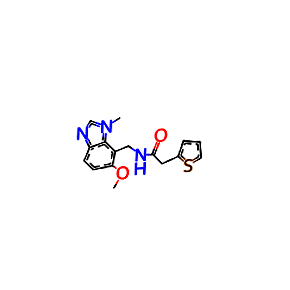 COc1ccc2ncn(C)c2c1CNC(=O)Cc1cccs1